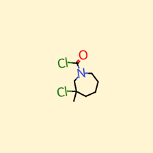 CC1(Cl)CCCCN(C(=O)Cl)C1